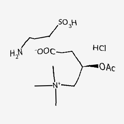 CC(=O)O[C@H](CC(=O)[O-])C[N+](C)(C)C.Cl.NCCS(=O)(=O)O